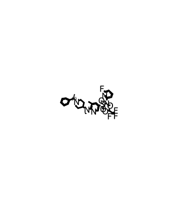 Cc1cc(S(=O)(=O)N(OC(=O)C(F)(F)F)c2cccc(F)n2)cnc1N(C)C1CCN([C@H](C)c2ccccc2)CC1